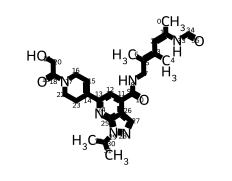 C/C(=C/C(C)=C(\C)CNC(=O)c1cc(C2=CCN(C(=O)CO)CC2)nc2c1cnn2C(C)C)NC=O